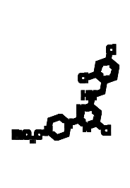 CCOC(=O)N1CCN(c2nc(Cl)cc(NCc3ccc(Cl)cc3Cl)n2)CC1